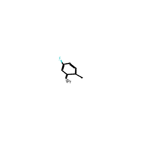 CC(C)C1C=C(F)C=CC1C